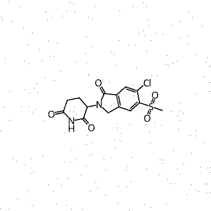 CS(=O)(=O)c1cc2c(cc1Cl)C(=O)N(C1CCC(=O)NC1=O)C2